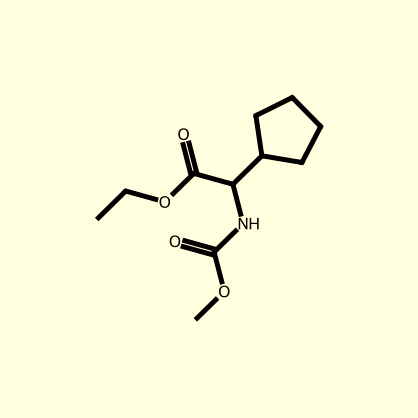 CCOC(=O)C(NC(=O)OC)C1CCCC1